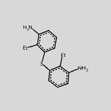 CCc1c(N)cccc1Sc1cccc(N)c1CC